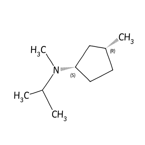 CC(C)N(C)[C@H]1CC[C@@H](C)C1